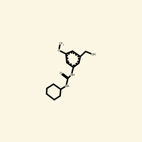 O=C(Nc1cc(CO)cc(OC(F)(F)F)c1)NC1CCCCC1